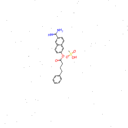 CS(=O)(=O)O.N=C(N)c1ccc2cc(OC(=O)CCCc3ccccc3)ccc2c1